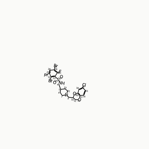 O=S(=O)(NCC1CCN(CC2COc3ccc(Cl)cc3O2)CC1)c1c(F)c(Br)cc(F)c1Br